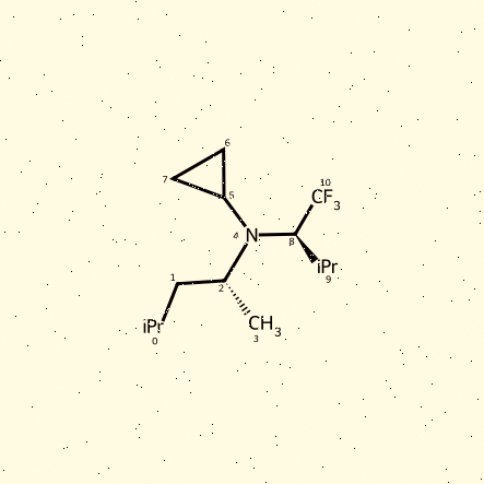 CC(C)C[C@@H](C)N(C1CC1)[C@H](C(C)C)C(F)(F)F